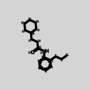 [CH2]CCc1ccccc1NC(=O)CCC1CCCCC1